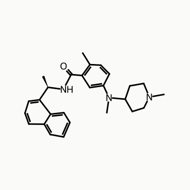 Cc1ccc(N(C)C2CCN(C)CC2)cc1C(=O)N[C@H](C)c1cccc2ccccc12